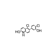 Oc1cc(-c2ccc3c(c2Cl)C=CC(O)N3)ccc1Cl